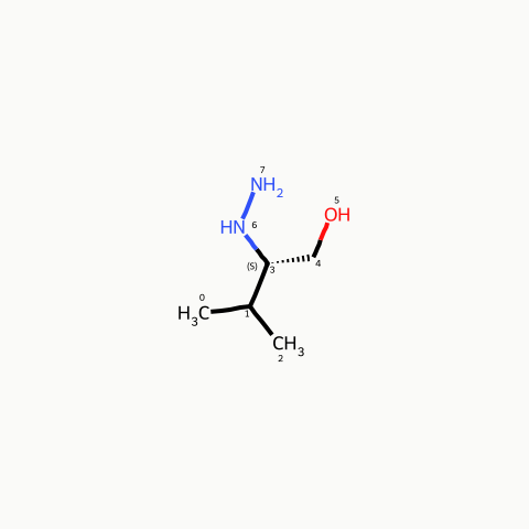 CC(C)[C@@H](CO)NN